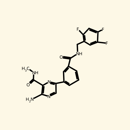 CNC(=O)c1nc(-c2cccc(C(=O)NCc3cc(F)c(F)cc3F)c2)cnc1N